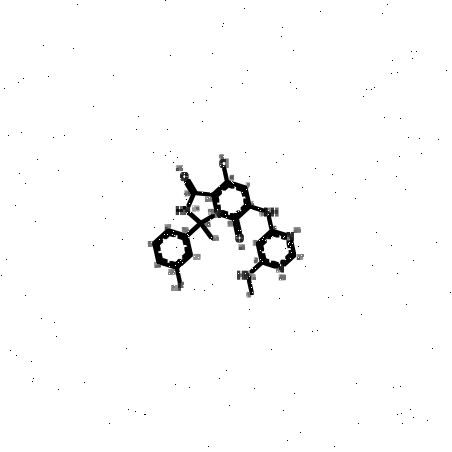 CNc1cc(Nc2cc(Cl)c3n(c2=O)C(C)(c2cccc(F)c2)NC3=O)ncn1